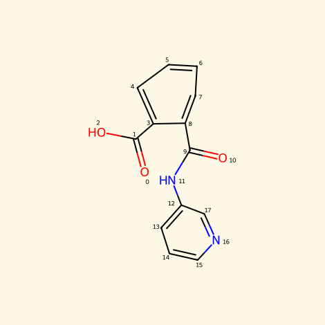 O=C(O)c1ccccc1C(=O)Nc1cccnc1